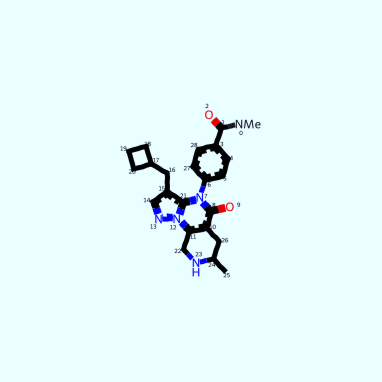 CNC(=O)c1ccc(-n2c(=O)c3c(n4ncc(CC5CCC5)c24)CNC(C)C3)cc1